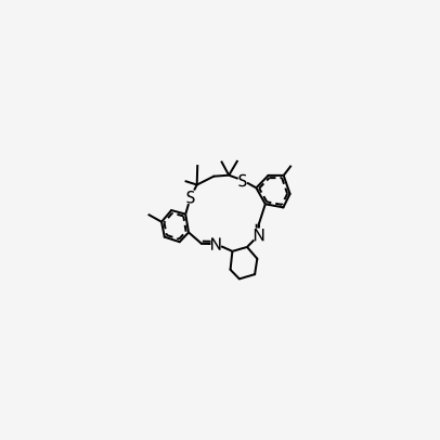 Cc1ccc2c(c1)SC(C)(C)CC(C)(C)Sc1cc(C)ccc1/C=N/C1CCCCC1/N=C/2